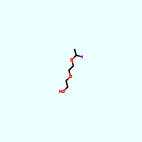 CC(I)OCCOCCO